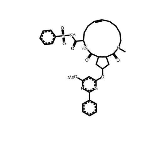 COc1cc(OC2CC3C(=O)NC(C(=O)NS(=O)(=O)c4ccccc4)CCC=CCCCCN(C)C(=O)C3C2)nc(-c2ccccc2)n1